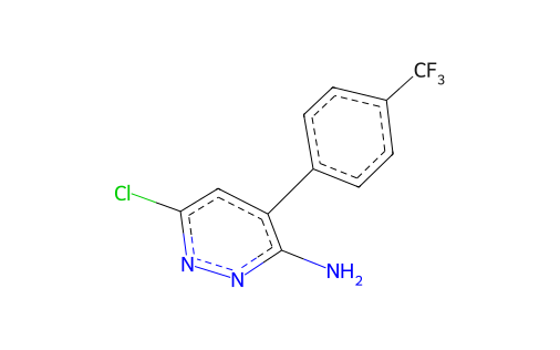 Nc1nnc(Cl)cc1-c1ccc(C(F)(F)F)cc1